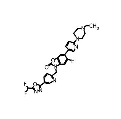 CCN1CCN(c2ccc(-c3cc4oc(=O)n(Cc5ccc(-c6nnc(C(F)F)o6)cn5)c4cc3F)cn2)CC1